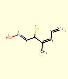 C=C/C=C(/C)C(S)/C=N/O